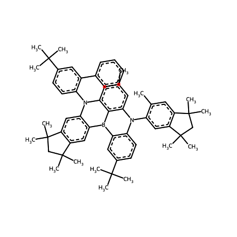 Cc1cc2c3c(c1)N(c1ccc(C(C)(C)C)cc1-c1ccccc1)c1cc4c(cc1B3c1cc(C(C)(C)C)ccc1N2c1cc2c(cc1C)C(C)(C)CC2(C)C)C(C)(C)CC4(C)C